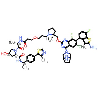 Cc1ncsc1-c1ccc([C@H](C)NC(=O)[C@@H]2C[C@@H](O)CN2C(=O)[C@@H](NC(=O)CCOCCCN2CCC[C@@]2(C)COc2nc(N3CC4CCC(C3)N4)c3cc(Cl)c(-c4ccc(F)c5sc(N)c(C#N)c45)c(F)c3n2)C(C)(C)C)cc1